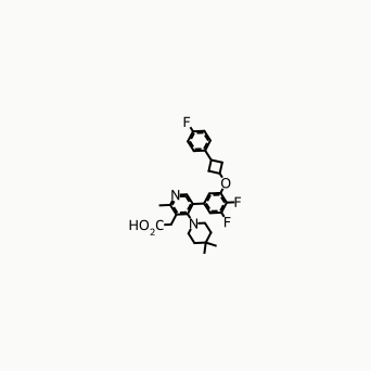 Cc1ncc(-c2cc(F)c(F)c(OC3CC(c4ccc(F)cc4)C3)c2)c(N2CCC(C)(C)CC2)c1CC(=O)O